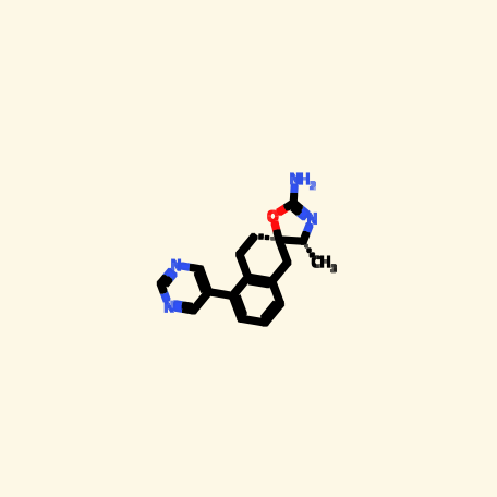 C[C@H]1N=C(N)O[C@@]12CCc1c(cccc1-c1cncnc1)C2